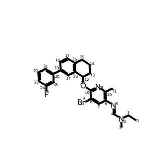 CCN(C)/C=N/c1cc(Br)c(OC2CCCc3ccc(-c4cccc(F)c4)cc32)nc1C